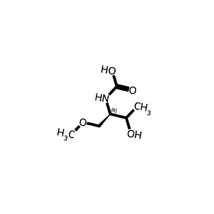 COC[C@@H](NC(=O)O)C(C)O